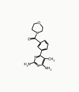 Cc1c(N)nc(N)nc1-c1cccc(C(=O)N2CCOCC2)c1